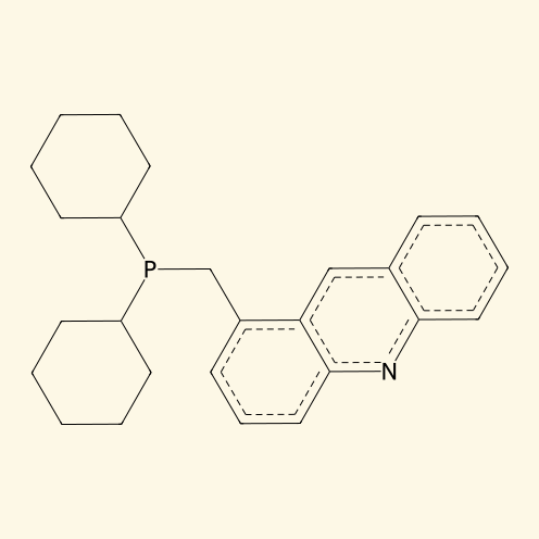 c1ccc2nc3cccc(CP(C4CCCCC4)C4CCCCC4)c3cc2c1